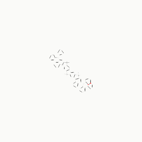 CC1(C)c2cc3c(cc2-c2cc4c(cc21)-c1c(cc(N(c2ccccc2)c2ccccc2-c2ccccc2)c2ccccc12)C4(C)C)C(C)(C)c1cc(N(c2ccccc2)c2ccccc2)c2ccccc2c1-3